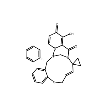 O=C1c2c(O)c(=O)ccn2N2CN1C1(/C=C/COc3ccccc3[C@@H]2c2ccccc2)CC1